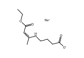 CCOC(=O)C=C(C)NCCCC(=O)[O-].[Na+]